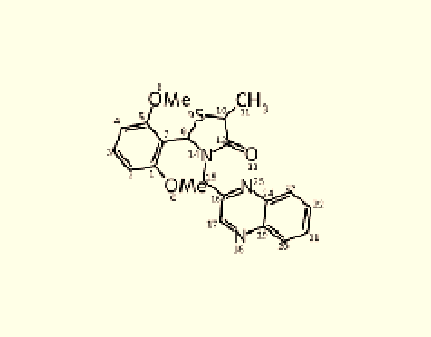 COc1cccc(OC)c1C1SC(C)C(=O)N1Cc1cnc2ccccc2n1